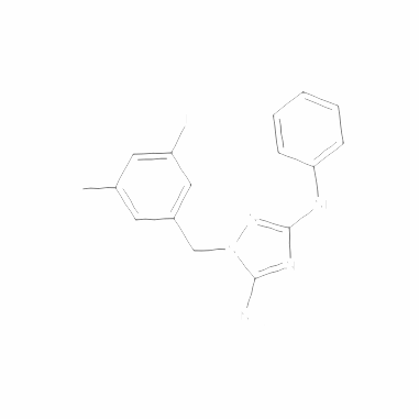 Nc1nc(Nc2ccccc2)nn1Cc1cc(F)cc(F)c1